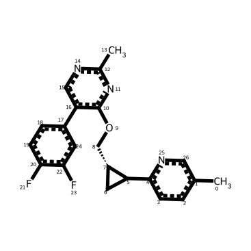 Cc1ccc(C2C[C@@H]2COc2nc(C)ncc2-c2ccc(F)c(F)c2)nc1